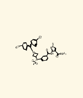 CS(=O)(=O)N(c1cccc(C(=O)Nc2n[nH]cc2C(N)=O)c1)C1CN(C(c2ccc(Cl)cc2)c2ccc(Cl)cc2)C1